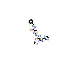 Cc1nc(-c2cnccn2)sc1C(=O)NCc1nc(C(=O)NCCc2ccccc2F)cs1